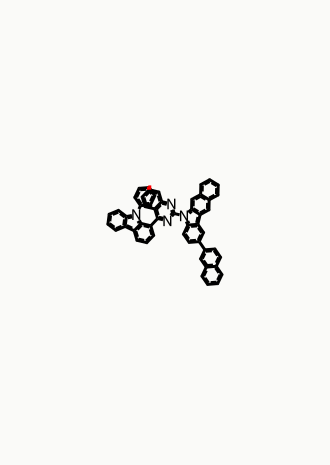 c1ccc(-n2c3ccccc3c3cccc(-c4nc(-n5c6ccc(-c7ccc8ccccc8c7)cc6c6cc7ccccc7cc65)nc5ccccc45)c32)cc1